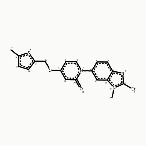 CCc1nc2ccc(-n3ccc(OCc4ccc(C)s4)cc3=O)cc2n1C